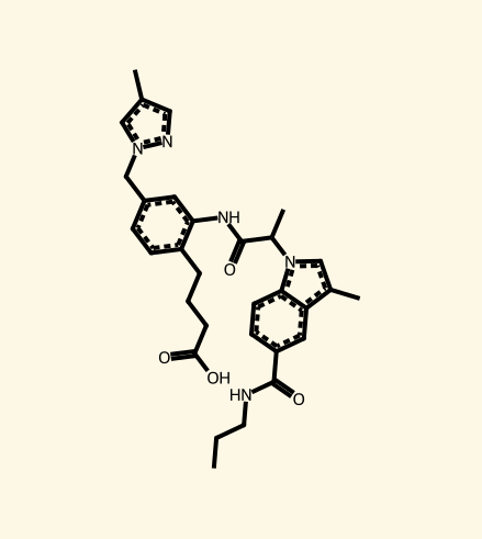 CCCNC(=O)c1ccc2c(c1)c(C)cn2C(C)C(=O)Nc1cc(Cn2cc(C)cn2)ccc1CCCC(=O)O